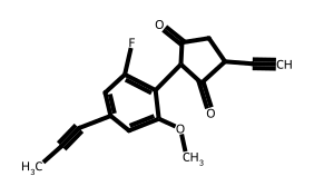 C#CC1CC(=O)C(c2c(F)cc(C#CC)cc2OC)C1=O